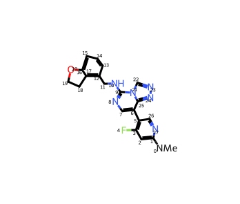 CNc1cc(F)c(-c2cnc(NCc3cccc4c3CCO4)n3cnnc23)cn1